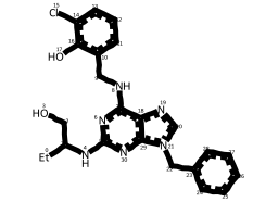 CCC(CO)Nc1nc(NCc2cccc(Cl)c2O)c2ncn(Cc3ccccc3)c2n1